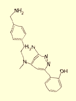 CN(CCc1ccc(CN)cc1)c1cc(-c2ccccc2O)nnc1N